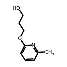 Cc1cccc(OCCCO)n1